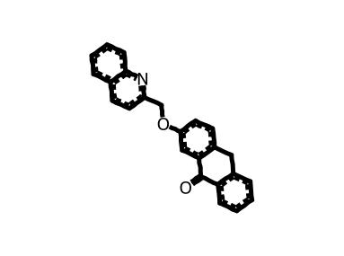 O=C1c2ccccc2Cc2ccc(OCc3ccc4ccccc4n3)cc21